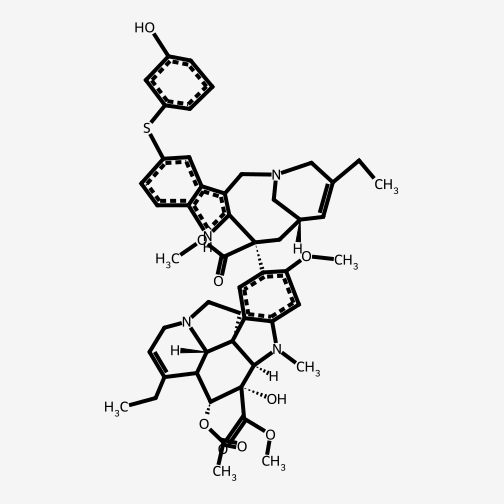 CCC1=C[C@H]2CN(C1)Cc1c([nH]c3ccc(Sc4cccc(O)c4)cc13)[C@@](C(=O)OC)(c1cc3c(cc1OC)N(C)[C@H]1[C@@](O)(C(=O)OC)[C@H](OC(C)=O)C4C(CC)=CCN5CC[C@]31[C@H]45)C2